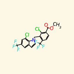 COC(=O)c1ccc(C(F)(F)F)c(Cn2ccc3cc(C(F)(F)F)cc(Cl)c32)c1Cl